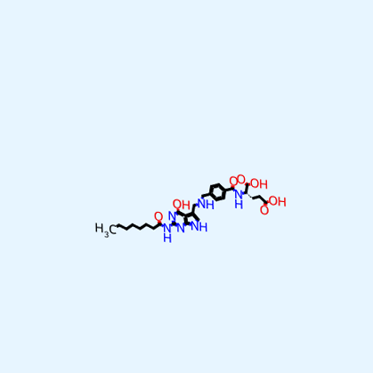 CCCCCCCC(=O)Nc1nc(O)c2c(CNCc3ccc(C(=O)N[C@@H](CCC(=O)O)C(=O)O)cc3)c[nH]c2n1